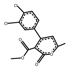 COC(=O)c1c(-c2ccc(Cl)c(Cl)c2)cc(C)oc1=O